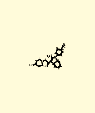 Cc1c(C(=O)CN2CCC(O)CC2)c2ccccc2n1-c1ccc(C#N)cc1